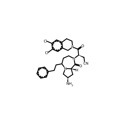 N#CC[C@H](C(=O)N1CCc2cc(Cl)c(Cl)cc2C1)N1CCC(CCc2ccccc2)N2C[C@H](N)C[C@H]2C1=O